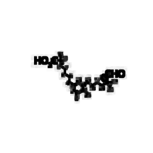 Cc1cc(CCCCCC(C)(C)C(=O)O)cc(CCCCC2(OC=O)CC2)c1C